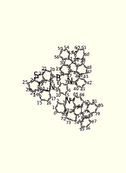 c1ccc(N(c2cc3c4c(c2)N(c2ccccc2)c2c(ccc5sc6ccccc6c25)B4c2ccc4c(c2N3c2ccccc2)-c2ccccc2C4(c2ccccc2)c2ccccc2)c2cccc3c2-c2ccccc2C3(c2ccccc2)c2ccccc2)cc1